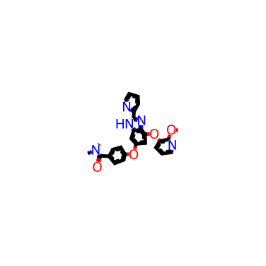 COc1ncccc1Oc1cc(Oc2ccc(C(=O)N(C)C)cc2)cc2[nH]c(-c3ccccn3)nc12